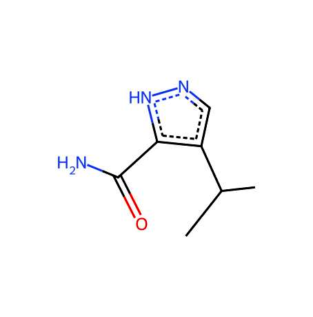 CC(C)c1cn[nH]c1C(N)=O